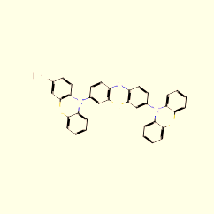 Cc1ccc2c(c1)Sc1ccccc1N2c1ccc2c(c1)Sc1cc(N3c4ccccc4Sc4ccccc43)ccc1N2